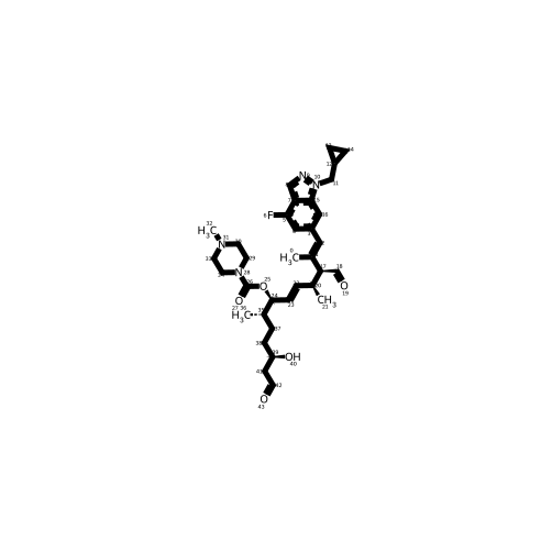 C/C(=C\c1cc(F)c2cnn(CC3CC3)c2c1)[C@@H](C=O)[C@@H](C)/C=C/[C@H](OC(=O)N1CCN(C)CC1)[C@@H](C)CC[C@@H](O)CC=O